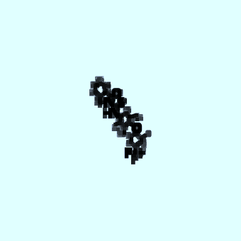 Cc1cc(C(F)(F)F)ccc1Oc1c(C)cc(NC(=S)NC(=O)c2ccccc2C)c(C)c1C